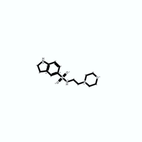 O=S(=O)(NCCN1CCOCC1)c1ccc2c(c1)CCN2